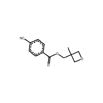 CC1(COC(=O)c2ccc(C#N)cc2)COC1